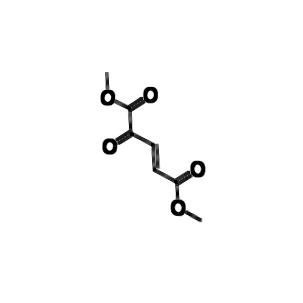 COC(=O)/C=C/C(=O)C(=O)OC